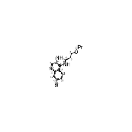 CC(C)OCCCNc1c(N)cnc2cc(Br)ccc12